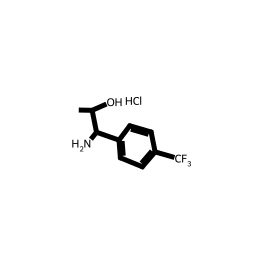 CC(O)C(N)c1ccc(C(F)(F)F)cc1.Cl